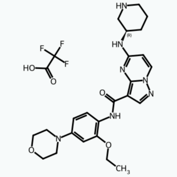 CCOc1cc(N2CCOCC2)ccc1NC(=O)c1cnn2ccc(N[C@@H]3CCCNC3)nc12.O=C(O)C(F)(F)F